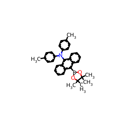 Cc1ccc(N(c2ccc(C)cc2)c2c3ccccc3c(B3OC(C)(C)C(C)(C)O3)c3ccccc23)cc1